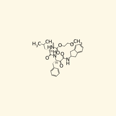 COCCOC(=O)N[C@@H](CC(C)C)C(=O)N[C@@H](Cc1ccccc1)C(=O)C(=O)NC1Cc2ccccc2C1